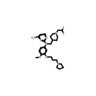 COc1ccc(N(CC2CCN(CC(F)F)CC2)c2nccc(N)n2)cc1OCCCN1CCCC1